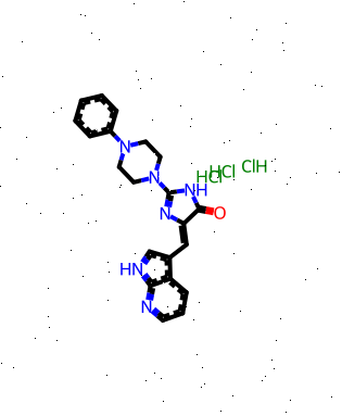 Cl.Cl.Cl.O=C1NC(N2CCN(c3ccccc3)CC2)=NC1=Cc1c[nH]c2ncccc12